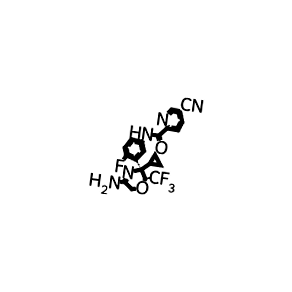 N#Cc1ccc(C(=O)Nc2ccc(F)c([C@@]3(C4CC4)N=C(N)CO[C@H]3C(F)(F)F)c2)nc1